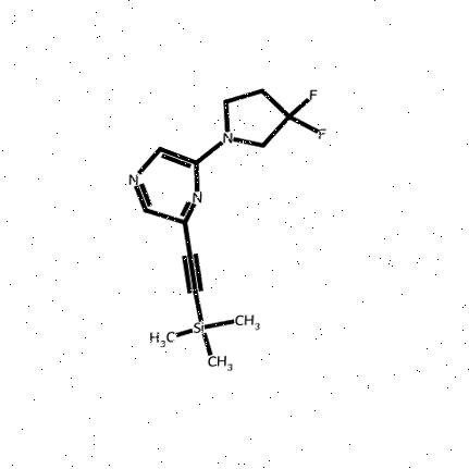 C[Si](C)(C)C#Cc1cncc(N2CCC(F)(F)C2)n1